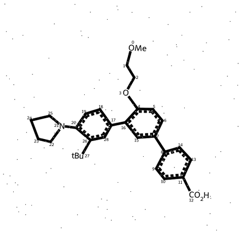 COCCOc1ccc(-c2ccc(C(=O)O)cc2)cc1-c1ccc(N2CCCC2)c(C(C)(C)C)c1